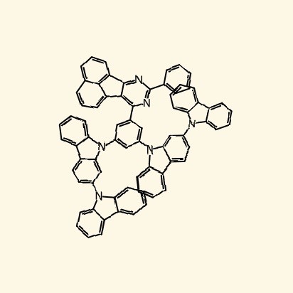 c1ccc(-c2nc(-c3cc(-n4c5ccccc5c5ccc(-n6c7ccccc7c7ccccc76)cc54)cc(-n4c5ccccc5c5ccc(-n6c7ccccc7c7ccccc76)cc54)c3)c3c(n2)-c2cccc4cccc-3c24)cc1